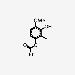 CCC(=O)Oc1ccc(OC)c(O)c1C